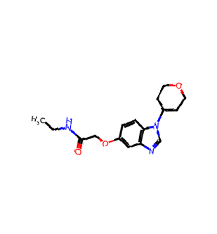 CCNC(=O)COc1ccc2c(c1)ncn2C1CCOCC1